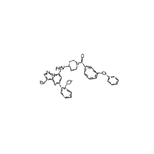 O=C(c1cccc(Oc2ccccc2)c1)N1CCC(Nc2cc(-c3ccccc3Cl)nc3c(Br)cnn23)CC1